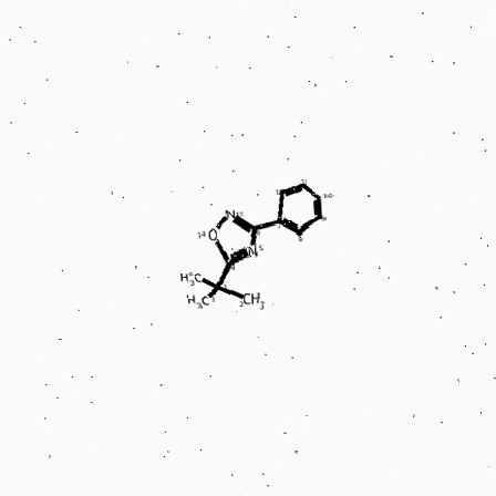 CC(C)(C)c1nc(-c2ccccc2)no1